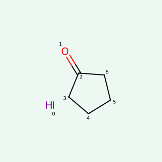 I.O=C1CCCC1